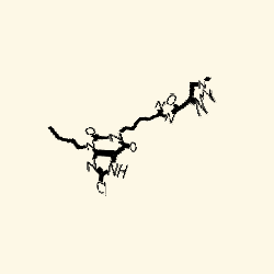 CCCCn1c(=O)n(CCCCc2noc(-c3cn(C)nn3)n2)c(=O)c2[nH]c(Cl)nc21